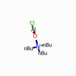 CCCC[N+](C)(CCCC)CCCC.[O]=[Al][Cl]